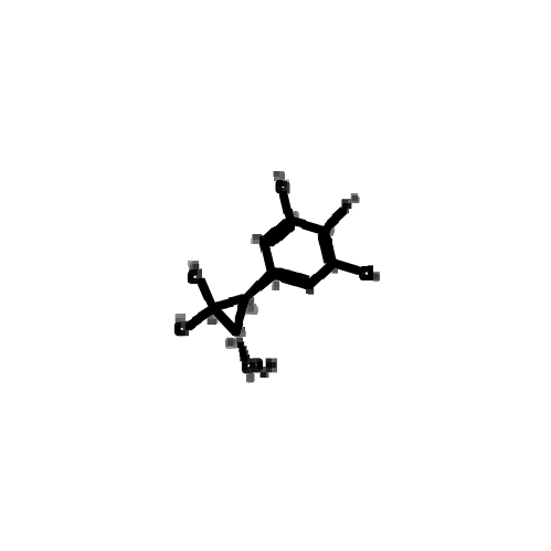 O=C(O)[C@H]1[C@H](c2cc(Cl)c(F)c(Cl)c2)C1(Cl)Cl